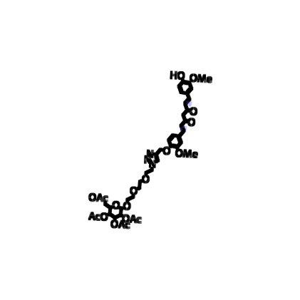 COc1cc(/C=C/C(=O)CC(=O)/C=C/c2ccc(OCc3cn(CCOCCOCCOC4OC(COC(C)=O)C(OC(C)=O)C(OC(C)=O)C4OC(C)=O)nn3)c(OC)c2)ccc1O